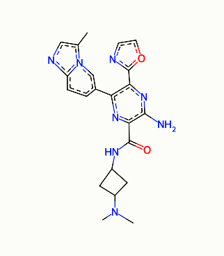 Cc1cnc2ccc(-c3nc(C(=O)NC4CC(N(C)C)C4)c(N)nc3-c3ncco3)cn12